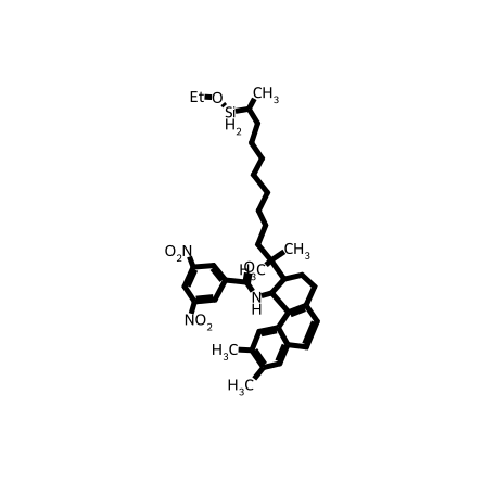 CCO[SiH2]C(C)CCCCCCCCC(C)(C)C1CCc2ccc3cc(C)c(C)cc3c2C1NC(=O)c1cc([N+](=O)[O-])cc([N+](=O)[O-])c1